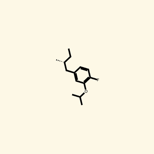 CC[C@@H](C)Cc1ccc(F)c(OC(C)C)c1